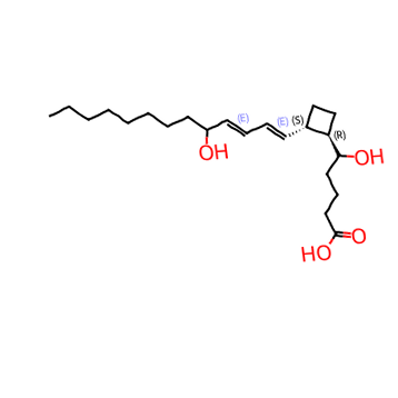 CCCCCCCCC(O)/C=C/C=C/[C@@H]1CC[C@H]1C(O)CCCC(=O)O